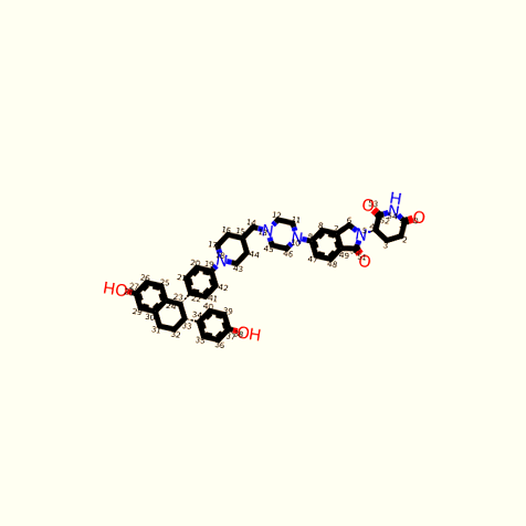 O=C1CC[C@H](N2Cc3cc(N4CCN(CC5CCN(c6ccc([C@H]7c8ccc(O)cc8CC[C@H]7c7ccc(O)cc7)cc6)CC5)CC4)ccc3C2=O)C(=O)N1